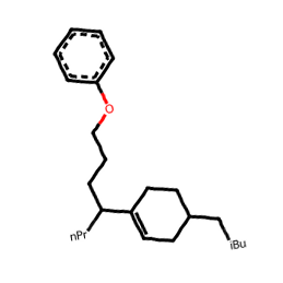 CCCC(CCCOc1ccccc1)C1=CCC(CC(C)CC)CC1